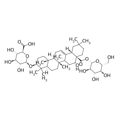 CC1(C)CC[C@]2(C(=O)O[C@@H]3O[C@H](CO)[C@@H](O)[C@H](O)[C@H]3O)[C@H](O)C[C@]3(C)C(=CC[C@@H]4[C@@]5(C)CC[C@H](O[C@@H]6O[C@H](C(=O)O)[C@@H](O)[C@H](O)[C@H]6O)C(C)(C)[C@@H]5CC[C@]43C)[C@@H]2C1